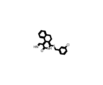 N=Cc1c2c(c(SCc3cccc(Cl)c3)[nH]c1=O)CCc1ccccc1-2